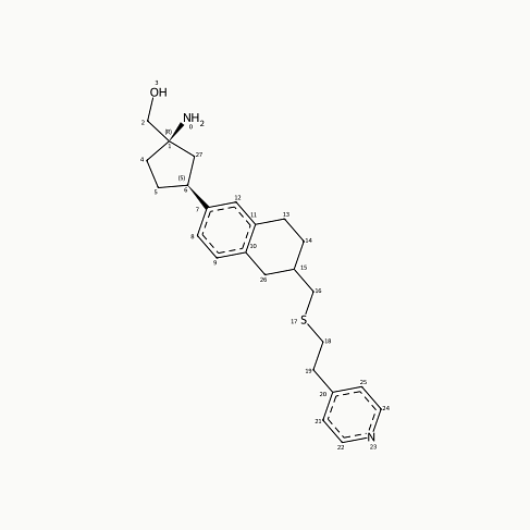 N[C@]1(CO)CC[C@H](c2ccc3c(c2)CCC(CSCCc2ccncc2)C3)C1